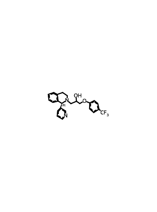 OC(COc1ccc(C(F)(F)F)cc1)CN1CCc2ccccc2[C@@H]1c1cccnc1